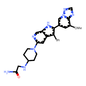 COc1cc(-c2[nH]c3cnc(N4CCC(NCC(N)=O)CC4)cc3c2C(C)C)cn2ncnc12